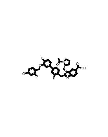 CC(=O)N1CCC[C@H]1Cn1c(Cc2ccc(-c3ccc(F)c(OCc4ccc(Cl)cc4F)c3)cc2F)nc2ccc(C(=O)O)cc21